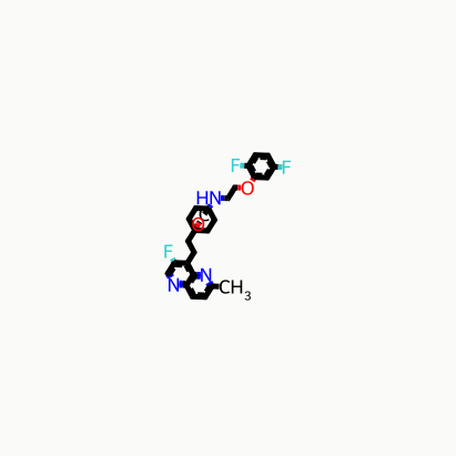 Cc1ccc2ncc(F)c(CCC34CCC(NCCOc5cc(F)ccc5F)(CC3)CO4)c2n1